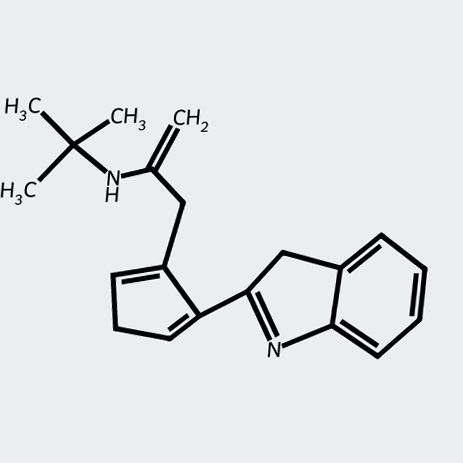 C=C(CC1=CCC=C1C1=Nc2ccccc2C1)NC(C)(C)C